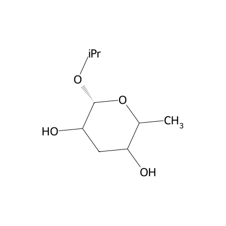 CC(C)O[C@@H]1OC(C)C(O)CC1O